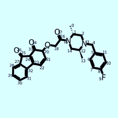 C[C@@H]1CN(Cc2ccc(F)cc2)[C@@H](C)CN1C(=O)COC1C=CC2=C(C(=O)c3ccccc32)C1=O